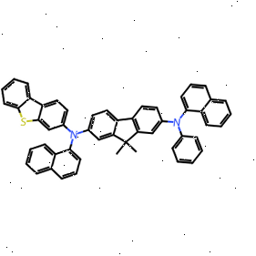 CC1(C)c2cc(N(c3ccccc3)c3cccc4ccccc34)ccc2-c2ccc(N(c3ccc4c(c3)sc3ccccc34)c3cccc4ccccc34)cc21